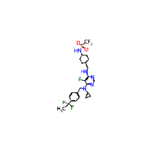 CC(F)(F)c1ccc(CN(c2ncnc(NCC3CCC(NS(=O)(=O)C(F)(F)F)CC3)c2F)C2CC2)cc1